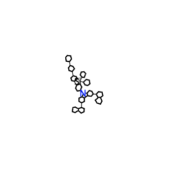 c1ccc(-c2ccc(-c3ccc4c(c3)[Si](c3ccccc3)(c3ccccc3)c3cc(-n5c6ccc(-c7cccc8ccccc78)cc6c6cc(-c7cccc8ccccc78)ccc65)ccc3-4)cc2)cc1